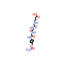 NC(=O)OCc1ccc(NC(=O)CNC(=O)CNC(=O)CNCCCC(=O)O)cc1